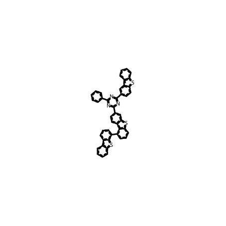 c1ccc(-c2nc(-c3ccc4c(c3)sc3cccc(-c5cccc6c5sc5ccccc56)c34)nc(-c3ccc4sc5ccccc5c4c3)n2)cc1